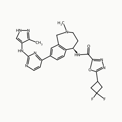 Cc1n[nH]cc1Nc1nccc(-c2ccc3c(c2)CN(C)CC[C@H]3NC(=O)c2nnc(C3CC(F)(F)C3)o2)n1